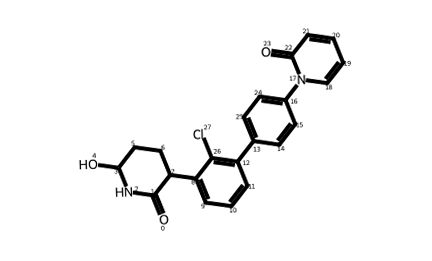 O=C1NC(O)CCC1c1cccc(-c2ccc(-n3ccccc3=O)cc2)c1Cl